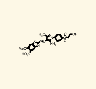 COc1cc2sc(/N=N/c3c(C)nn(-c4ccc(S(=O)(=O)CCO)cc4)c3N)nc2cc1S(=O)(=O)O